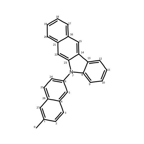 Cc1ccc2cc(-n3c4ccccc4c4cc5ccccc5cc43)ccc2c1